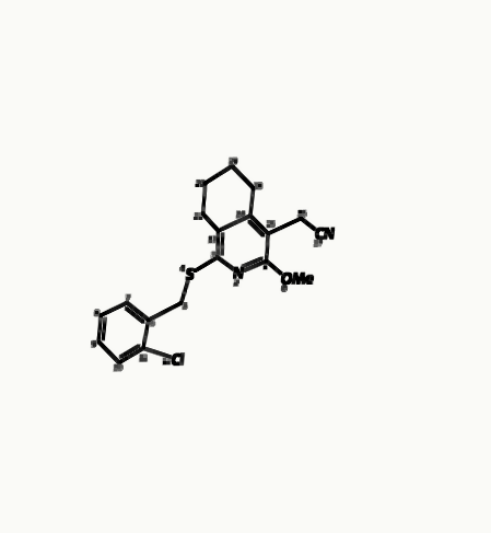 COc1nc(SCc2ccccc2Cl)c2c(c1CC#N)CCCC2